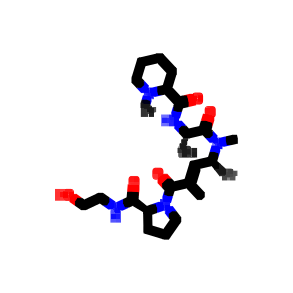 C/C(=C\[C@H](C(C)C)N(C)C(=O)[C@@H](NC(=O)C1CCCCN1C(C)C)C(C)(C)C)C(=O)N1CCC[C@H]1C(=O)NCCO